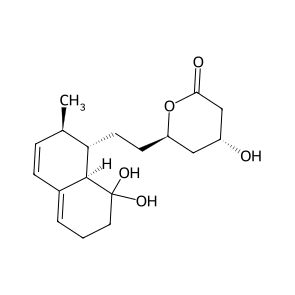 C[C@@H]1C=CC2=CCCC(O)(O)[C@@H]2[C@H]1CC[C@@H]1C[C@@H](O)CC(=O)O1